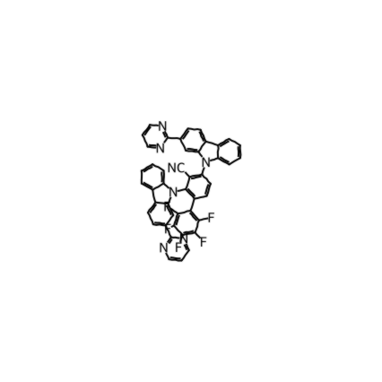 N#Cc1c(-n2c3ccccc3c3ccc(-c4ncccn4)cc32)ccc(-c2c(F)c(F)c(F)c(F)c2F)c1-n1c2ccccc2c2ccc(-c3ncccn3)cc21